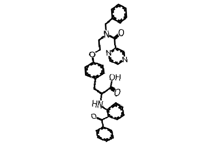 O=C(c1ccccc1)c1ccccc1NC(Cc1ccc(OCCN(Cc2ccccc2)C(=O)c2cnccn2)cc1)C(=O)O